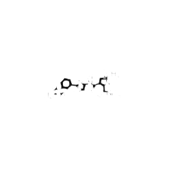 Cn1cc(C(=O)Nc2csc(-c3cccc(S(C)(=O)=O)c3)n2)c(C(N)=O)n1